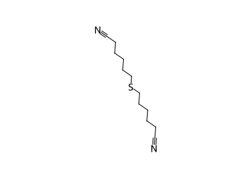 N#CCCCCCSCCCCCC#N